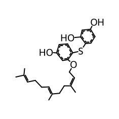 CC(C)=CCCC=C(C)CCC(C)=CCOc1cc(O)ccc1Sc1ccc(O)cc1O